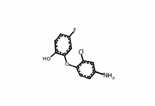 Nc1ccc(Oc2cc(F)ccc2O)c(Cl)c1